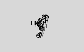 CS(=O)(=O)CCNC(=O)Nc1c[nH]nc1-c1nc2cc(CN3CCOCC3)ccc2[nH]1